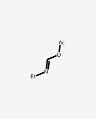 [CH2]C(=O)OC=NCC